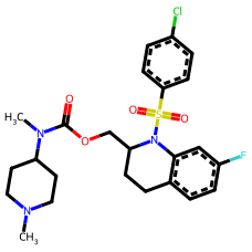 CN1CCC(N(C)C(=O)OCC2CCc3ccc(F)cc3N2S(=O)(=O)c2ccc(Cl)cc2)CC1